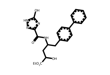 CCOC(=O)C(O)CC(Cc1ccc(-c2ccccc2)cc1)NC(=O)c1n[nH]c(O)n1